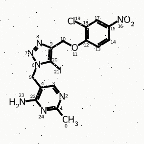 Cc1ncc(Cn2nnc(COc3ccc([N+](=O)[O-])cc3Cl)c2I)c(N)n1